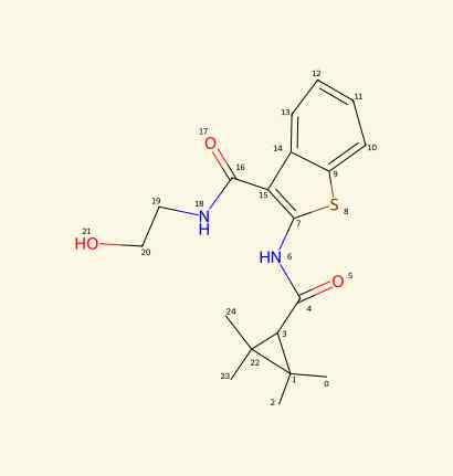 CC1(C)C(C(=O)Nc2sc3ccccc3c2C(=O)NCCO)C1(C)C